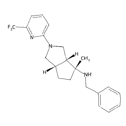 C[C@@]1(NCc2ccccc2)CC[C@@H]2CN(c3cccc(C(F)(F)F)n3)C[C@@H]21